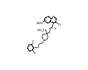 COc1ccc2ncc(Cl)c([C@H](F)CCC3(CC(=O)O)CCN(CCSc4c(F)cccc4F)CC3)c2c1